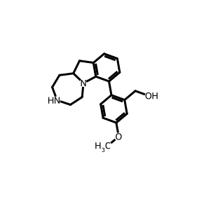 COc1ccc(-c2cccc3c2N2CCNCCC2C3)c(CO)c1